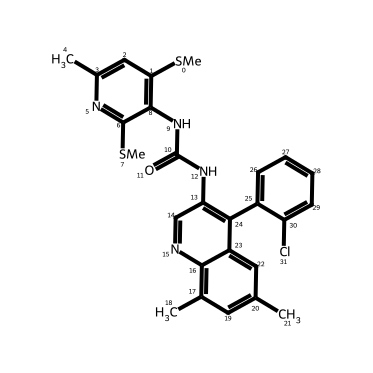 CSc1cc(C)nc(SC)c1NC(=O)Nc1cnc2c(C)cc(C)cc2c1-c1ccccc1Cl